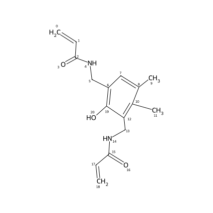 C=CC(=O)NCc1cc(C)c(C)c(CNC(=O)C=C)c1O